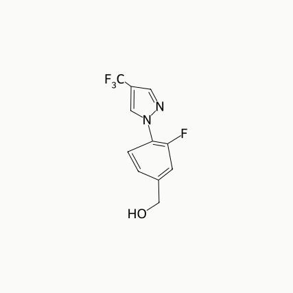 OCc1ccc(-n2cc(C(F)(F)F)cn2)c(F)c1